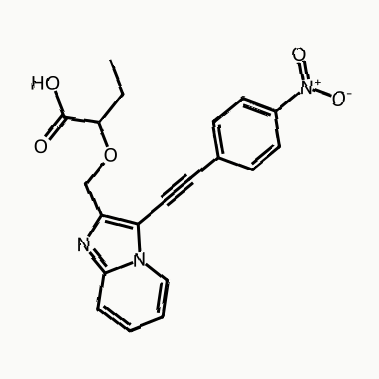 CCC(OCc1nc2ccccn2c1C#Cc1ccc([N+](=O)[O-])cc1)C(=O)O